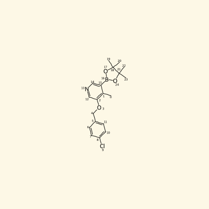 Cc1c(OCc2ccc(Cl)cc2)cncc1B1OC(C)(C)C(C)(C)O1